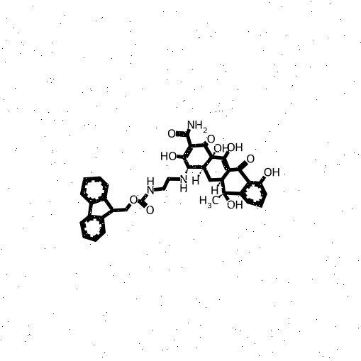 C[C@@]1(O)c2cccc(O)c2C(=O)C2=C(O)[C@]3(O)C(=O)C(C(N)=O)=C(O)[C@@H](NCCNC(=O)OCC4c5ccccc5-c5ccccc54)[C@@H]3C[C@@H]21